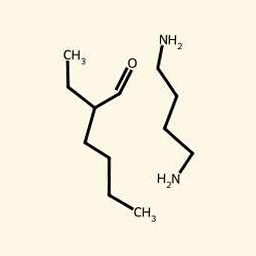 CCCCC(C=O)CC.NCCCCN